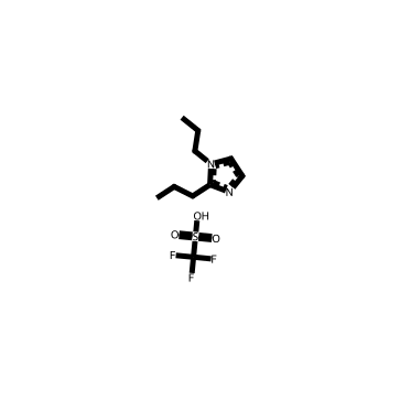 CCCc1nccn1CCC.O=S(=O)(O)C(F)(F)F